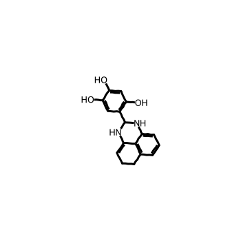 Oc1cc(O)c(C2NC3=CCCc4cccc(c43)N2)cc1O